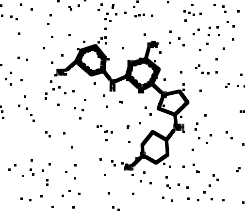 CCCc1cc(N2CCC(NC3CCN(C(C)=O)CC3)C2)nc(Nc2cccc(C#N)c2)n1